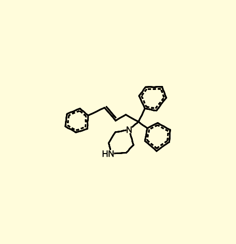 C(=Cc1ccccc1)CC(c1ccccc1)(c1ccccc1)N1CCNCC1